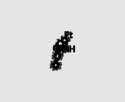 CCc1ccc2c(c1)CCC[C@]21CNC[C@H]1C(=O)N1CCC(c2ccccc2)CC1